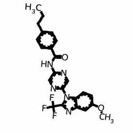 CCCc1ccc(C(=O)Nc2cnc(-n3c(C(F)(F)F)nc4cc(OC)ccc43)cn2)cc1